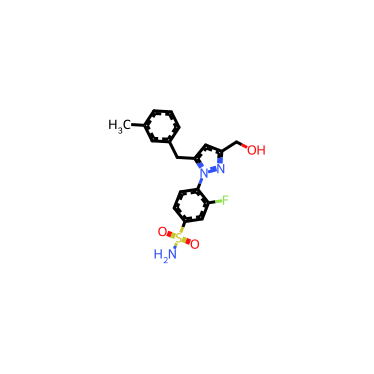 Cc1cccc(Cc2cc(CO)nn2-c2ccc(S(N)(=O)=O)cc2F)c1